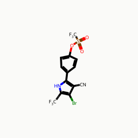 N#Cc1c(-c2ccc(OS(=O)(=O)C(F)(F)F)cc2)[nH]c(C(F)(F)F)c1Br